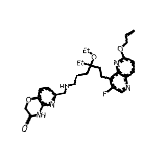 C=CCOc1ccc2ncc(F)c(CCC(CC)(CCCNCc3ccc4c(n3)NC(=O)CO4)OCC)c2n1